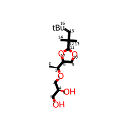 C[C@H](OC[C@@H](O)CO)C1COC(C(C)(C)CC(C)(C)C)O1